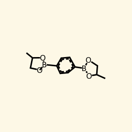 CC1COB(c2ccc(B3OCC(C)O3)cc2)O1